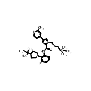 Cc1cc(-c2cn(COCC[Si](C)(C)C)c(C(=O)Nc3cccc(F)c3N3CCC(C(C)(C)N)CC3)n2)ccn1